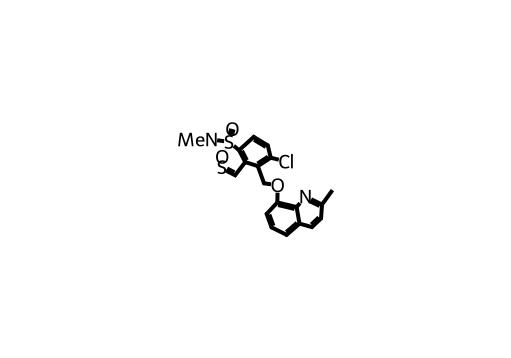 CNS(=O)(=O)c1ccc(Cl)c(COc2cccc3ccc(C)nc23)c1C=S